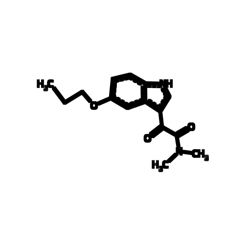 CCCOc1ccc2[nH]cc(C(=O)C(=O)N(C)C)c2c1